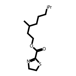 CC(C)CCCC(C)CCOC(=O)C1=NCCS1